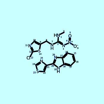 CN/C(=N\[N+](=O)[O-])NCc1cnc(Cl)s1.c1ccc2[nH]c(-c3cscn3)nc2c1